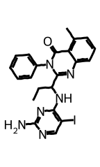 CCC(Nc1nc(N)ncc1I)c1nc2cccc(C)c2c(=O)n1-c1ccccc1